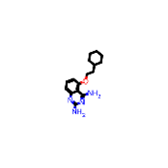 Nc1nc(N)c2c(OCCC3CCCCC3)cccc2n1